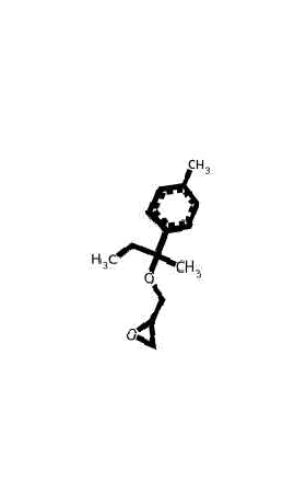 CCC(C)(OCC1CO1)c1ccc(C)cc1